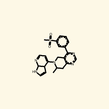 CC1Cc2ncnc(-c3cccc(S(C)(=O)=O)c3)c2CN1C1=CC=NC2NC=CC12